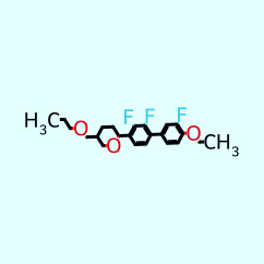 CCCOCC1CCC(c2ccc(-c3ccc(OCC)c(F)c3)c(F)c2F)OC1